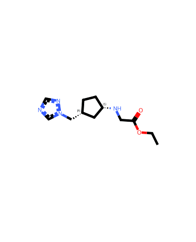 CCOC(=O)CN[C@H]1CC[C@@H](Cn2cncn2)C1